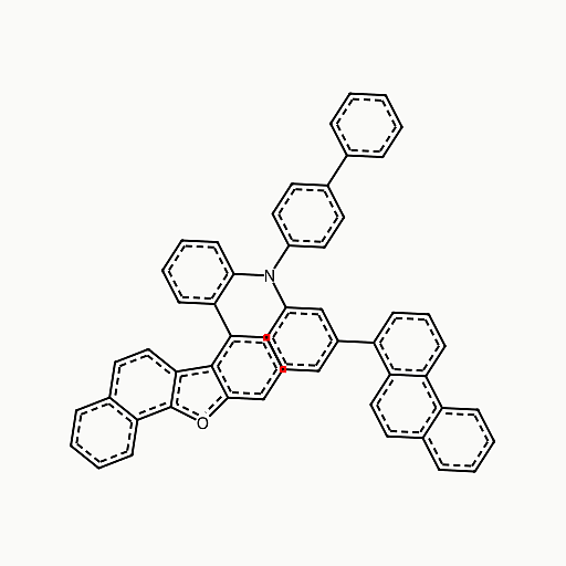 c1ccc(-c2ccc(N(c3cccc(-c4cccc5c4ccc4ccccc45)c3)c3ccccc3-c3cccc4oc5c6ccccc6ccc5c34)cc2)cc1